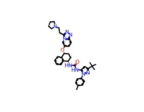 Cc1ccc(-n2nc(C(C)(C)C)cc2NC(=O)N[C@H]2CC[C@@H](Oc3ccc4nnc(CCN5CCCC5)n4c3)c3ccccc32)cc1